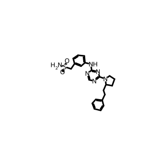 NS(=O)(=O)Cc1cccc(Nc2ncnc(N3CCCC3CCc3ccccc3)n2)c1